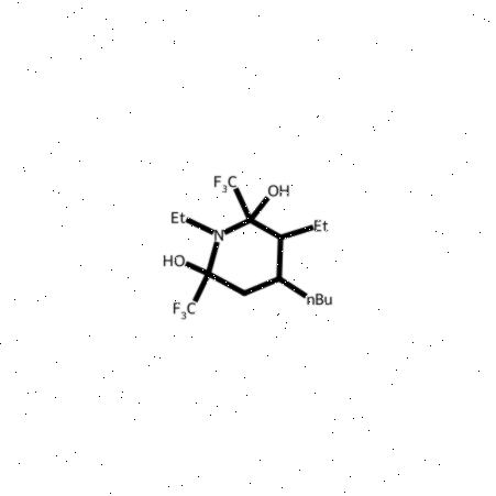 CCCCC1CC(O)(C(F)(F)F)N(CC)C(O)(C(F)(F)F)C1CC